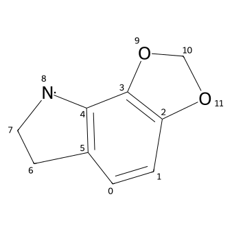 c1cc2c(c3c1CC[N]3)OCO2